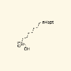 CCCCCCCCCCCCCC[C@]1(CO)CO1